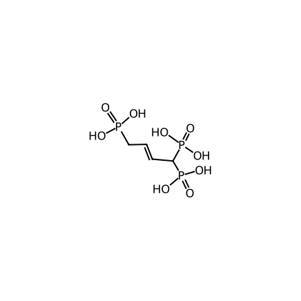 O=P(O)(O)CC=CC(P(=O)(O)O)P(=O)(O)O